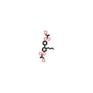 C=C(COC)C(=O)Oc1ccc(-c2ccc(OC(=O)C(=C)COC)cc2CCCC)cc1